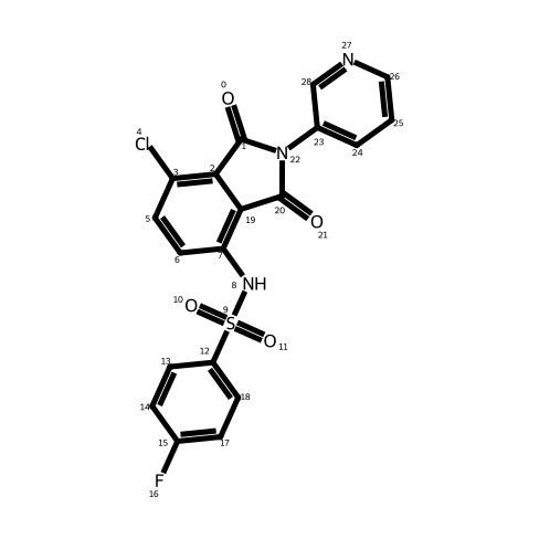 O=C1c2c(Cl)ccc(NS(=O)(=O)c3ccc(F)cc3)c2C(=O)N1c1cccnc1